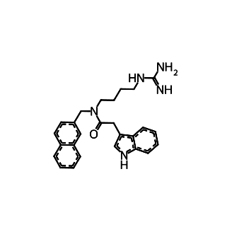 N=C(N)NCCCCN(Cc1ccc2ccccc2c1)C(=O)Cc1c[nH]c2ccccc12